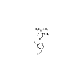 CN(C)C(C)(C)COc1ccc(C=O)cc1F